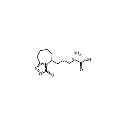 N[C@@H](CSCC1CCCCc2noc(=O)n21)C(=O)O